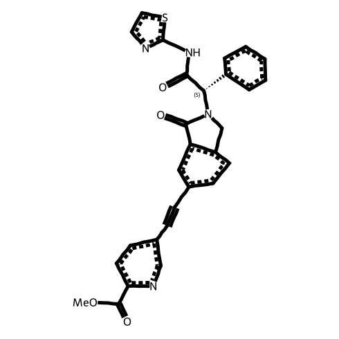 COC(=O)c1ccc(C#Cc2ccc3c(c2)C(=O)N([C@H](C(=O)Nc2nccs2)c2ccccc2)C3)cn1